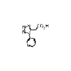 O=C(O)Cc1nnnn1-c1ccccc1